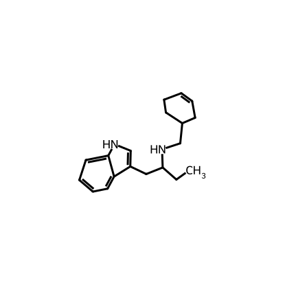 CCC(Cc1c[nH]c2ccccc12)NCC1CC=CCC1